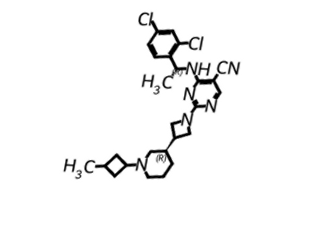 CC1CC(N2CCC[C@H](C3CN(c4ncc(C#N)c(N[C@H](C)c5ccc(Cl)cc5Cl)n4)C3)C2)C1